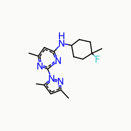 Cc1cc(NC2CCC(C)(F)CC2)nc(-n2nc(C)cc2C)n1